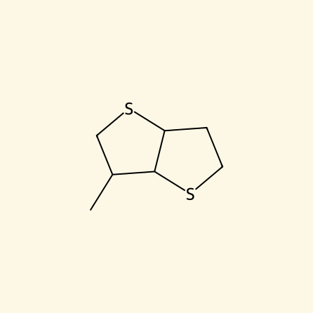 CC1CSC2CCSC12